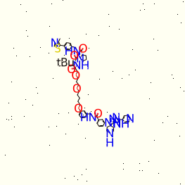 Cc1ncsc1-c1ccc(CNC(=O)[C@@H]2CCCN2C(=O)[C@@H](NC(=O)COCCCOCCCCCOc2cccc(CNC(=O)c3cccc(NC4(c5nnc(-c6ccncc6)[nH]5)CCNCC4)c3)c2)C(C)(C)C)cc1